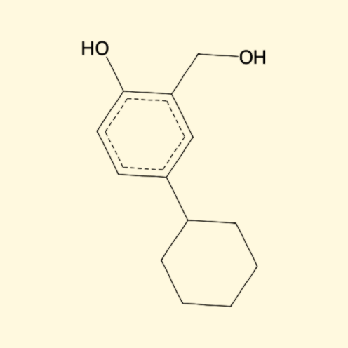 OCc1cc(C2CCCCC2)ccc1O